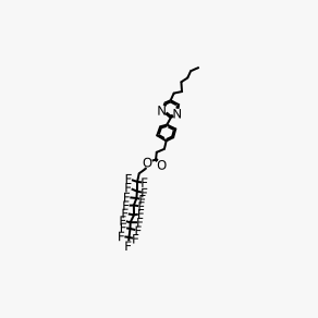 CCCCCCc1cnc(-c2ccc(CCC(=O)OCCC(F)(F)C(F)(F)C(F)(F)C(F)(F)C(F)(F)C(F)(F)C(F)(F)C(F)(F)F)cc2)nc1